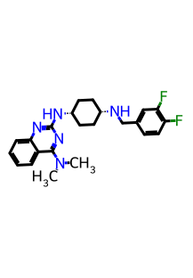 CN(C)c1nc(N[C@H]2CC[C@@H](NCc3ccc(F)c(F)c3)CC2)nc2ccccc12